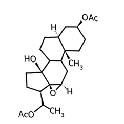 CC(=O)OC(C)[C@H]1CC[C@]2(O)C3CC[C@H]4C[C@@H](OC(C)=O)CC[C@]4(C)C3C[C@H]3O[C@]132